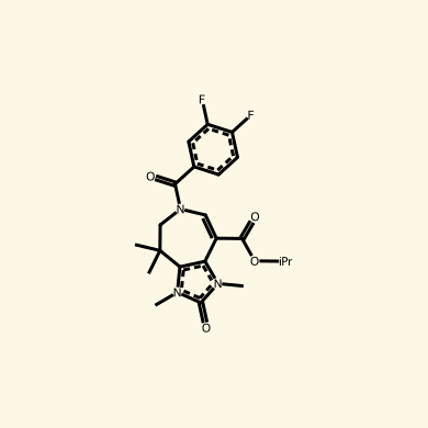 CC(C)OC(=O)C1=CN(C(=O)c2ccc(F)c(F)c2)CC(C)(C)c2c1n(C)c(=O)n2C